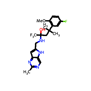 COc1ccc(F)cc1C(C)(C)CC(O)(NCc1cc2nc(C)ncc2[nH]1)C(F)(F)F